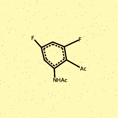 CC(=O)Nc1cc(F)cc(F)c1C(C)=O